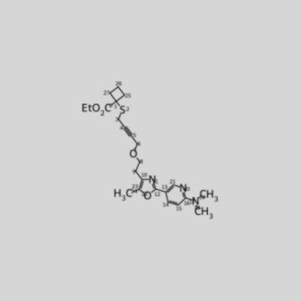 CCOC(=O)C1(SCC#CCOCCc2nc(-c3ccc(N(C)C)nc3)oc2C)CCC1